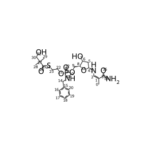 C/C(=C/N[C@@H]1CC(O)[C@H](COP(=O)(NCc2ccccc2)OCCSC(=O)C(C)(C)CO)O1)C(N)=O